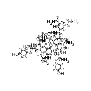 CC[C@H](C)[C@H](NC(=O)[C@@H](N)Cc1ccc(O)cc1)C(=O)N(CCC(C(=O)[C@H](CCCCN)NC(=O)[C@H](CCCCN)NC(=O)[C@H](C)N)(C(=O)[C@H](Cc1ccccc1)NC(=O)[C@@H](CCCNC(=N)N)NC(=O)[C@@H](N)Cc1ccc(O)cc1)c1ccccc1)[C@@H](CC(C)C)C(=O)O